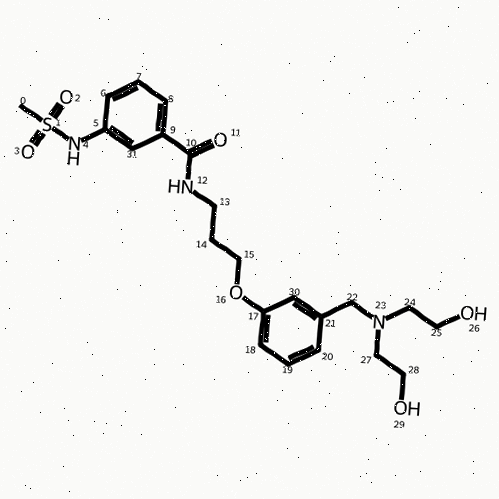 CS(=O)(=O)Nc1cccc(C(=O)NCCCOc2cccc(CN(CCO)CCO)c2)c1